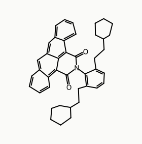 O=C1c2c3ccccc3cc3cc4ccccc4c(c23)C(=O)N1c1c(CCC2CCCCC2)cccc1CCC1CCCCC1